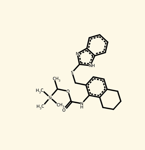 CC(OC(=O)Nc1c(CSc2nc3ccccc3[nH]2)ccc2c1CCCC2)[Si](C)(C)C